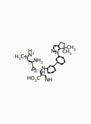 CN(N)/C=C(\N)C1C[C@H]1/C(Nc1cccc(-c2cccc(-n3ncc4c3C(C)(C)CC4)c2)c1)=C(/C=N)C(=O)O